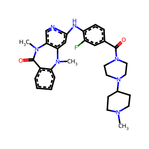 CN1CCC(N2CCN(C(=O)c3ccc(Nc4cc5c(cn4)N(C)C(=O)c4ccccc4N5C)c(F)c3)CC2)CC1